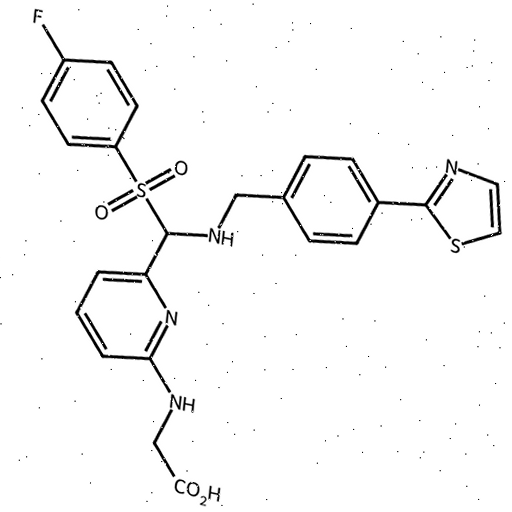 O=C(O)CNc1cccc(C(NCc2ccc(-c3nccs3)cc2)S(=O)(=O)c2ccc(F)cc2)n1